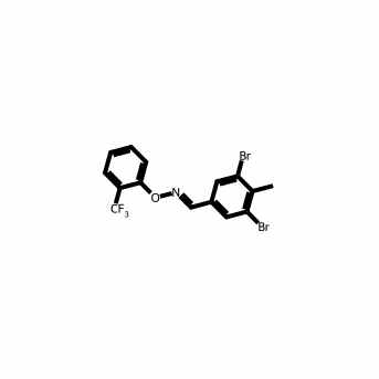 Cc1c(Br)cc(/C=N/Oc2ccccc2C(F)(F)F)cc1Br